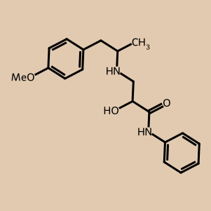 COc1ccc(CC(C)NCC(O)C(=O)Nc2ccccc2)cc1